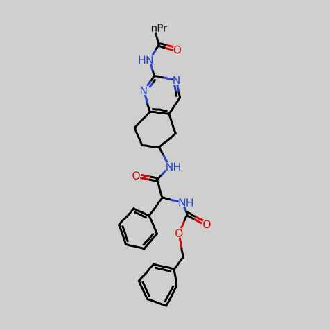 CCCC(=O)Nc1ncc2c(n1)CCC(NC(=O)C(NC(=O)OCc1ccccc1)c1ccccc1)C2